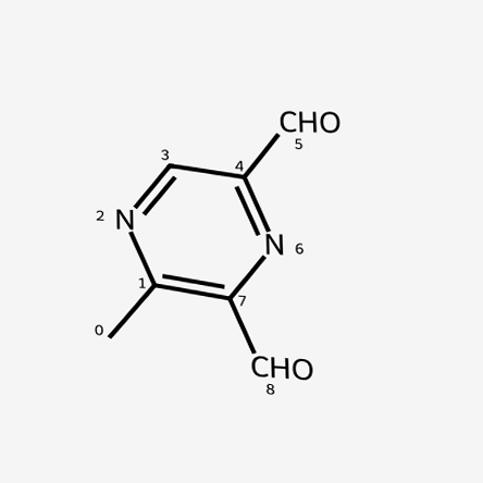 Cc1ncc(C=O)nc1C=O